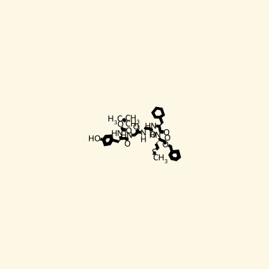 CSCC[C@H](NC(=O)[C@H](CC1CCCCC1)NC(=O)CNC(=O)CNC(=O)[C@H](Cc1ccc(O)cc1)NC(=O)OC(C)(C)C)C(=O)OCc1ccccc1